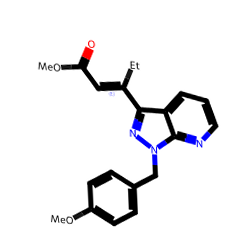 CC/C(=C\C(=O)OC)c1nn(Cc2ccc(OC)cc2)c2ncccc12